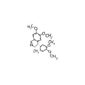 COc1ccc([C@H]2c3cc(OC)c(OC)cc3C=N[C@H]2C)cc1OC